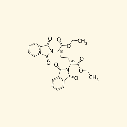 CCOC(=O)[C@@H](CC[C@@H](C(=O)OCC)N1C(=O)c2ccccc2C1=O)N1C(=O)c2ccccc2C1=O